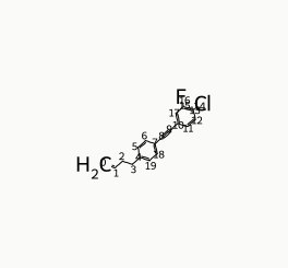 C=CCCc1ccc(C#Cc2ccc(Cl)c(F)c2)cc1